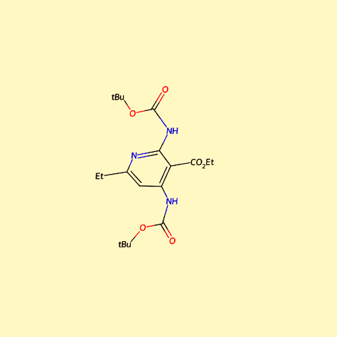 CCOC(=O)c1c(NC(=O)OC(C)(C)C)cc(CC)nc1NC(=O)OC(C)(C)C